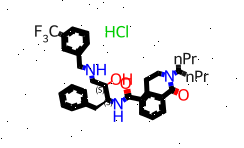 CCCC(CCC)N1CCc2c(C(=O)N[C@@H](Cc3ccccc3)[C@@H](O)CNCc3cccc(C(F)(F)F)c3)cccc2C1=O.Cl